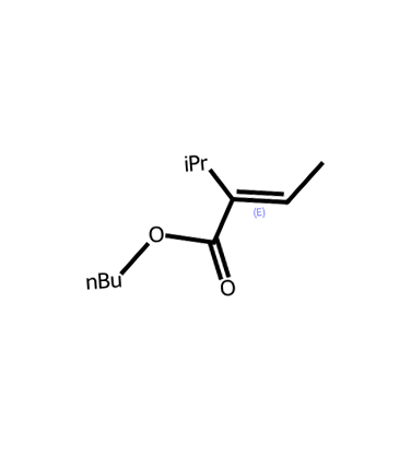 C/C=C(/C(=O)OCCCC)C(C)C